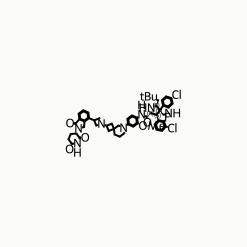 COc1cc(N2CCCC3(CC(N4CC(c5cccc6c5CN(C5CCC(=O)NC5=O)C6=O)C4)C3)C2)ccc1NC(=O)[C@@H]1N[C@@H](CC(C)(C)C)[C@@]2(CNc3cc(Cl)ccc32)[C@H]1c1cccc(Cl)c1F